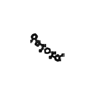 O=C(N[C@H]1CC[C@@H](C(=O)Nc2ccn(-c3ccccc3F)n2)CC1)c1ccnc(Cl)c1